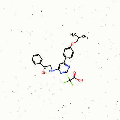 CC(C)COc1ccc(-c2cc(NC[C@H](O)c3ccccc3)ncn2)cc1.O=C(O)C(F)(F)F